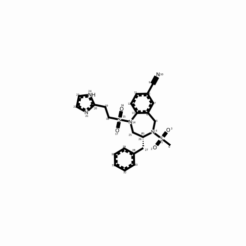 CS(=O)(=O)N1Cc2cc(C#N)ccc2N(S(=O)(=O)CCc2ncc[nH]2)C[C@H]1Cc1ccccc1